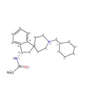 COC(=O)N[C@H]1CC2(CCN(CC3CCCCC3)CC2)c2ccccc21